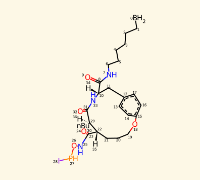 BCCCCCCNC(=O)[C@@H]1Cc2ccc(cc2)OCCC[C@H](C(=O)NOPI)[C@@H](CCCC)C(=O)N1